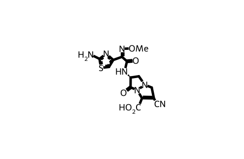 CO/N=C(\C(=O)N[C@@H]1CN2CC(C#N)=C(C(=O)O)N2C1=O)c1csc(N)n1